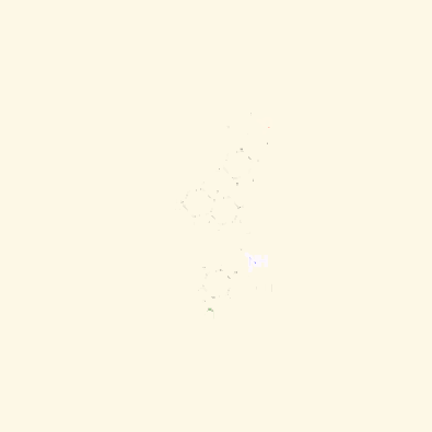 CC(NCCc1cc(-c2ccc(C3(F)COC3)cc2)c2ccccc2c1)c1cccc(Cl)c1.Cl